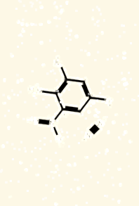 N#N.Nc1c(Br)cc(Br)cc1[N+](=O)[O-]